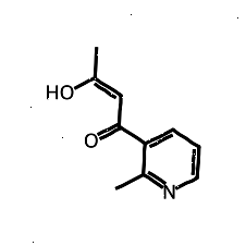 CC(O)=CC(=O)c1cccnc1C